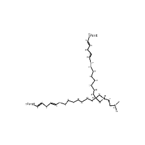 CCCCCC=CCC=CCCCCCCCCC1(CCCCCCCCC=CCC=CCCCCC)CN(CCN(C)C)C1